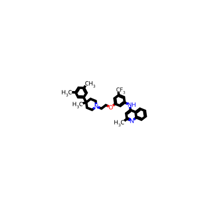 Cc1cc(C)cc(C2(C)CCN(CCOc3cc(Nc4cc(C)nc5ccccc45)cc(C(F)(F)F)c3)CC2)c1